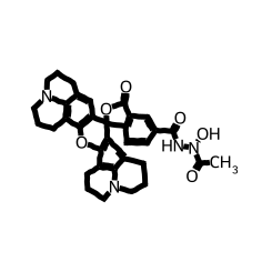 CC(=O)N(O)NC(=O)c1ccc2c(c1)C(=O)OC21c2cc3c4c(c2Oc2c1cc1c5c2CCCN5CCC1)CCCN4CCC3